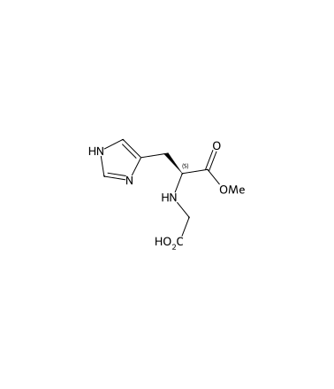 COC(=O)[C@H](Cc1c[nH]cn1)NCC(=O)O